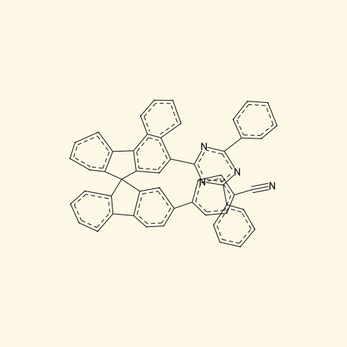 N#Cc1ccc(-c2ccc3c(c2)C2(c4ccccc4-3)c3ccccc3-c3c2cc(-c2nc(-c4ccccc4)nc(-c4ccccc4)n2)c2ccccc32)cc1